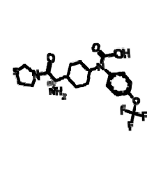 N[C@H](C(=O)N1CCSC1)C1CCC(N(C(=O)O)c2ccc(OC(F)(F)F)cc2)CC1